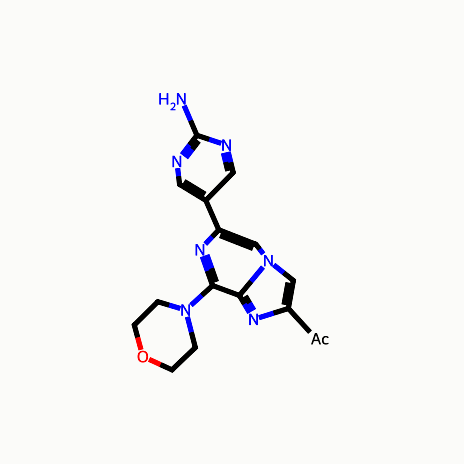 CC(=O)c1cn2cc(-c3cnc(N)nc3)nc(N3CCOCC3)c2n1